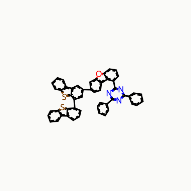 c1ccc(-c2nc(-c3ccccc3)nc(-c3cccc4oc5cc(-c6cc(-c7cccc8c7sc7ccccc78)c7sc8ccccc8c7c6)ccc5c34)n2)cc1